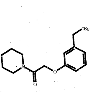 CC(C)(C)Cc1cccc(OCC(=O)N2CCCCC2)c1